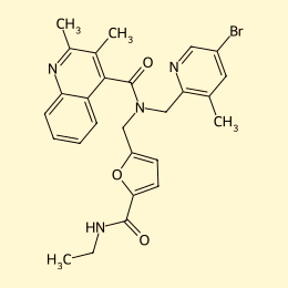 CCNC(=O)c1ccc(CN(Cc2ncc(Br)cc2C)C(=O)c2c(C)c(C)nc3ccccc23)o1